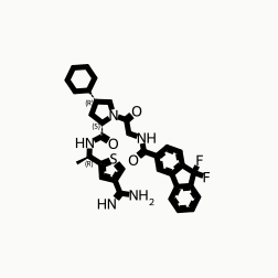 C[C@@H](NC(=O)[C@@H]1C[C@H](C2CCCCC2)CN1C(=O)CNC(=O)c1ccc2c(c1)-c1ccccc1C2(F)F)c1cc(C(=N)N)cs1